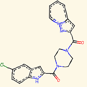 O=C(c1cc2ccccn2n1)N1CCN(C(=O)c2cc3cc(Cl)ccc3[nH]2)CC1